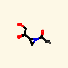 O=C(CO)[C@@H]1CN1C(=O)C(F)(F)F